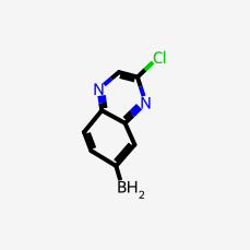 Bc1ccc2ncc(Cl)nc2c1